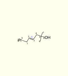 CC(C)C/C=C/CC(C)(C)O